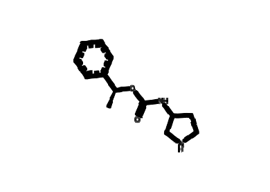 C[C@H](OC(=O)NC1CCNC1)c1ccccc1